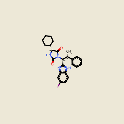 C[C@H](c1ccccc1)[C@@H](c1nc2cc(I)ccc2[nH]1)N1C(=O)N[C@H](C2CCCCC2)C1=O